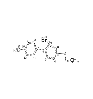 C=CCc1ccc(-c2ccc(O)cc2)c(Br)c1